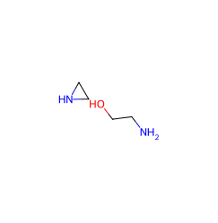 C1CN1.NCCO